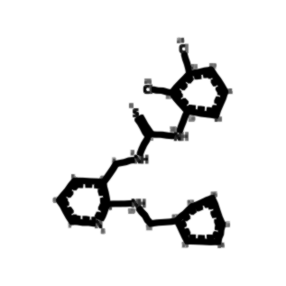 S=C(NCc1cccnc1NCc1ccccc1)Nc1cccc(Cl)c1Cl